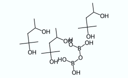 CC(O)CC(C)(C)O.CC(O)CC(C)(C)O.CC(O)CC(C)(C)O.OB(O)OB(O)O